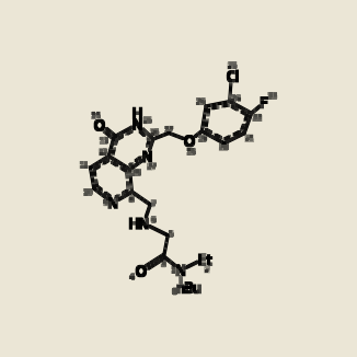 CCCCN(CC)C(=O)CNCc1nccc2c(=O)[nH]c(COc3ccc(F)c(Cl)c3)nc12